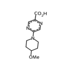 COC1CCN(c2cnc(C(=O)O)cn2)CC1